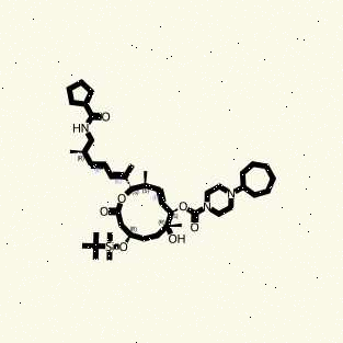 C/C(=C\C=C\[C@@H](C)CNC(=O)C1CCCC1)[C@H]1OC(=O)C[C@H](O[Si](C)(C)C(C)(C)C)CC[C@@](C)(O)[C@@H](OC(=O)N2CCN(C3CCCCCC3)CC2)/C=C/[C@@H]1C